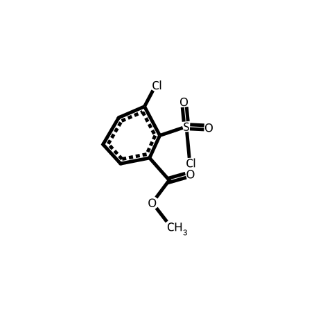 COC(=O)c1cccc(Cl)c1S(=O)(=O)Cl